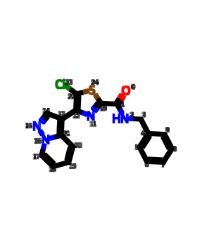 O=C(NCc1ccccc1)c1nc(-c2cnn3ccccc23)c(Cl)s1